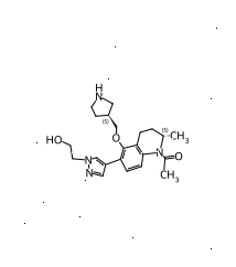 CC(=O)N1c2ccc(-c3cnn(CCO)c3)c(OC[C@H]3CCNC3)c2CC[C@@H]1C